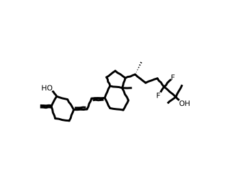 C=C1CC/C(=C/C=C2\CCCC3(C)C2CCC3[C@H](C)CCC(F)(F)C(C)(C)O)CC1O